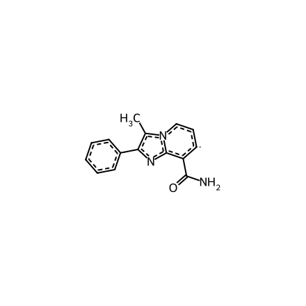 Cc1c(-c2ccccc2)nc2c(C(N)=O)[c]ccn12